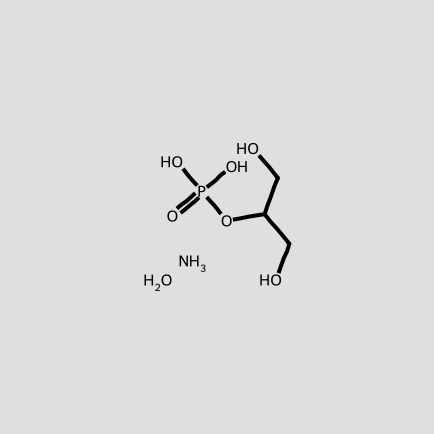 N.O.O=P(O)(O)OC(CO)CO